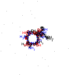 CCC(C)C1NC(=O)C(C(C)CC(=O)O)NC(=O)C(CC(N)=O)NC(=O)CNC(=O)C(C(OC)C(=O)O)NC(=O)C(CCCCN)NC(=O)C(CC(=O)O)NC(=O)C(C)NC(=O)CN(C)C(=O)C(NC(=O)C(CC(=O)O)NC(=O)C(CC(N)=O)NC(=O)C(Cc2c[nH]c3ccccc23)NC(=O)CCCCCCC(C)C)C(C)OC1=O